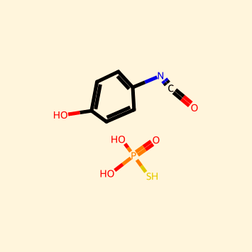 O=C=Nc1ccc(O)cc1.O=P(O)(O)S